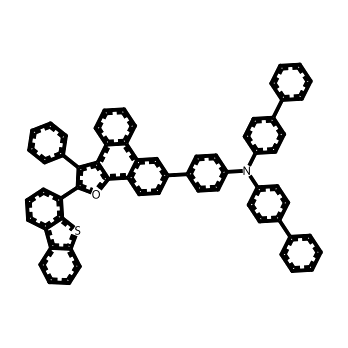 c1ccc(-c2ccc(N(c3ccc(-c4ccccc4)cc3)c3ccc(-c4ccc5c(c4)c4ccccc4c4c(-c6ccccc6)c(-c6cccc7c6sc6ccccc67)oc54)cc3)cc2)cc1